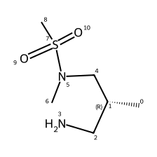 C[C@H](CN)CN(C)S(C)(=O)=O